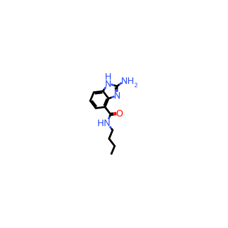 CCCCNC(=O)c1cccc2[nH]c(N)nc12